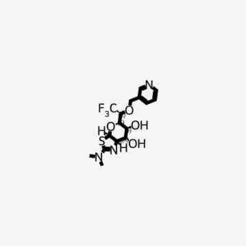 CN(C)C1=N[C@@H]2[C@@H](O)[C@H](O)[C@@H]([C@@H](OCc3cccnc3)C(F)(F)F)O[C@@H]2S1